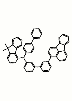 CC1(C)c2ccccc2-c2c(N(c3ccc(-c4ccccc4)cc3)c3cccc(-c4cccc(-c5ccc6c7c(cccc57)-c5ccccc5-6)c4)c3)cccc21